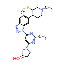 Cc1nc(N2CC[C@@H](O)C2)cc(-n2ncc3cc(C)c(C4CCN(C)CC4F)cc32)n1